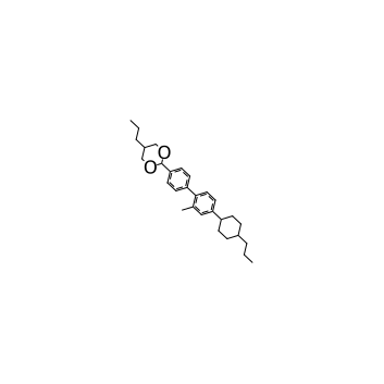 CCCC1CCC(c2ccc(-c3ccc(C4OCC(CCC)CO4)cc3)c(C)c2)CC1